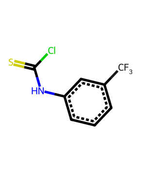 FC(F)(F)c1cccc(NC(=S)Cl)c1